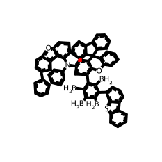 Bc1c(B)c(-c2cc(N(c3ccccc3)c3cccc4oc5ccc(-c6ccccc6)cc5c34)cc3c2Oc2ccccc2C32c3ccccc3-c3ccccc32)c(B)c(-c2cccc3c2sc2ccccc23)c1B